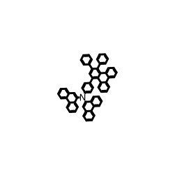 c1ccc(-c2cc(-c3ccc(N(c4cc5ccccc5c5ccccc45)c4cc5ccccc5c5ccccc45)cc3)c3c4ccccc4c4ccccc4c3c2-c2ccccc2)cc1